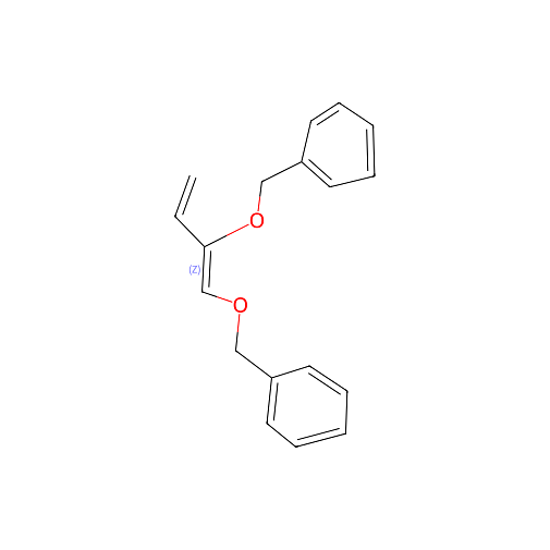 C=C/C(=C/OCc1ccccc1)OCc1ccccc1